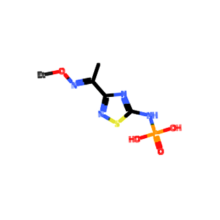 CCON=C(C)c1nsc(NP(=O)(O)O)n1